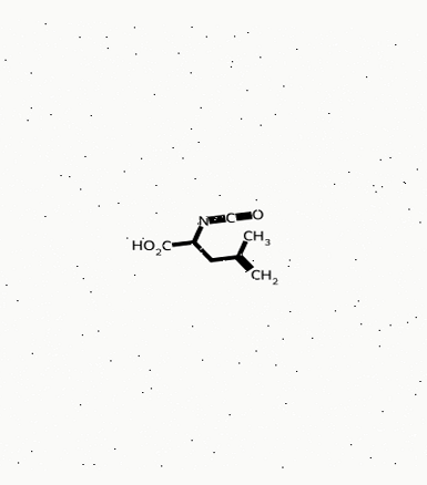 C=C(C)CC(N=C=O)C(=O)O